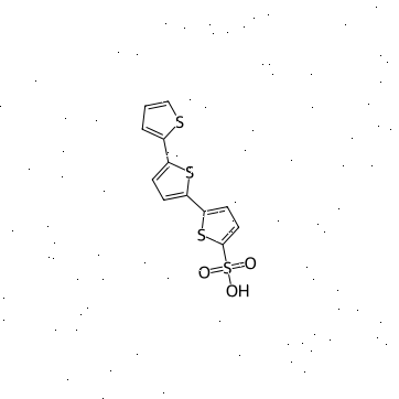 O=S(=O)(O)c1ccc(-c2ccc(-c3cccs3)s2)s1